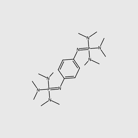 CN(C)P(=Nc1ccc(N=P(N(C)C)(N(C)C)N(C)C)cc1)(N(C)C)N(C)C